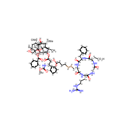 CO[C@H]1C[C@H]2OC[C@@]2(OC(C)=O)[C@H]2[C@H](OC(=O)c3ccccc3)C[C@H](OC(=O)[C@H](OC(=O)CCCSSC[C@@H]3NC(=O)[C@@H](Cc4ccccc4)NC(=O)[C@H](CC(=O)O)NC(=O)CNC(=O)[C@H](CCCNC(=N)N)NC3=O)[C@@H](NC(=O)OC(C)(C)C)c3ccccc3)/C(C)=C(\C(C)(C)O)[C@@H](OC)C(=O)[C@]12C